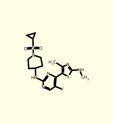 CNc1nc(C)c(-c2nc(NC3CCN(S(=O)(=O)C4CC4)CC3)ncc2F)s1